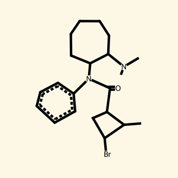 CC1C(Br)CC1C(=O)N(c1ccccc1)C1CCCCCC1N(C)C